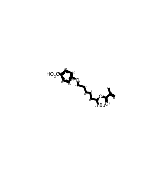 C=C(C)C(=O)OC(CCCC)CCCCCOc1ccc(C(=O)O)cc1